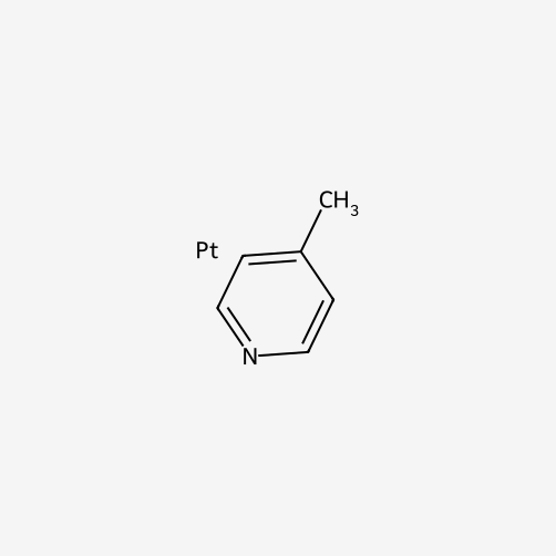 Cc1ccncc1.[Pt]